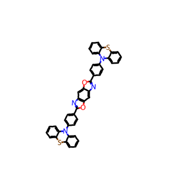 c1ccc2c(c1)Sc1ccccc1N2c1ccc(-c2nc3cc4oc(-c5ccc(N6c7ccccc7Sc7ccccc76)cc5)nc4cc3o2)cc1